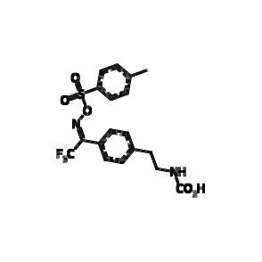 Cc1ccc(S(=O)(=O)ON=C(c2ccc(CCNC(=O)O)cc2)C(F)(F)F)cc1